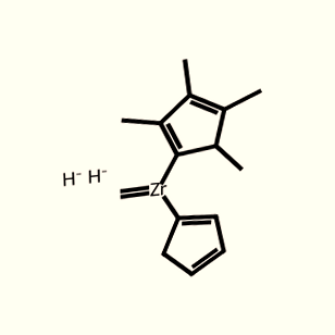 [CH2]=[Zr]([C]1=CC=CC1)[C]1=C(C)C(C)=C(C)C1C.[H-].[H-]